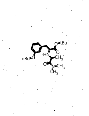 CCCCOc1cccc(CC(NC(C)C(=O)N(C)C)C(=O)OC(C)(C)C)c1